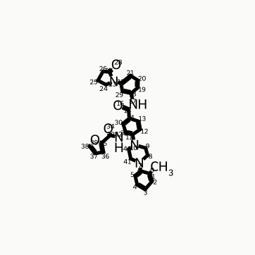 Cc1ccccc1N1CCN(c2ccc(C(=O)Nc3cccc(N4CCCC4=O)c3)cc2NC(=O)c2ccco2)CC1